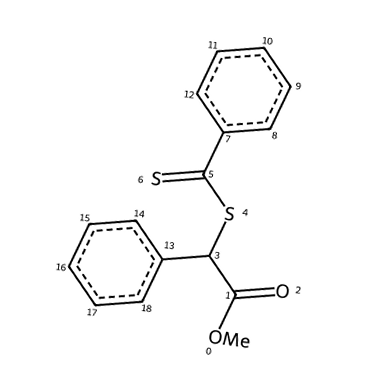 COC(=O)C(SC(=S)c1ccccc1)c1ccccc1